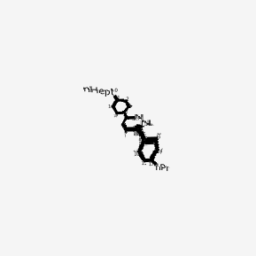 CCCCCCCC1CCC(c2ccc(-c3ccc(CCC)cc3)nn2)CC1